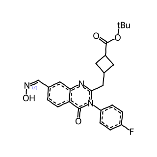 CC(C)(C)OC(=O)C1CC(Cc2nc3cc(/C=N\O)ccc3c(=O)n2-c2ccc(F)cc2)C1